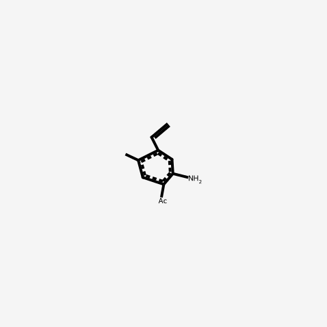 C=Cc1cc(N)c(C(C)=O)cc1C